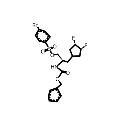 O=C(N[C@@H](COS(=O)(=O)c1ccc(Br)cc1)CC1C[C@@H](F)[C@@H](F)C1)OCc1ccccc1